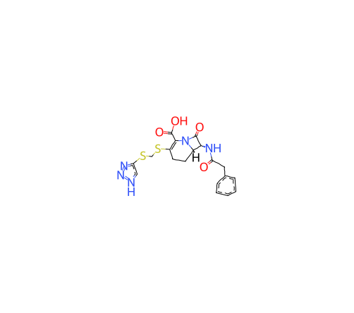 O=C(Cc1ccccc1)N[C@@H]1C(=O)N2C(C(=O)O)=C(SCSc3c[nH]nn3)CC[C@@H]12